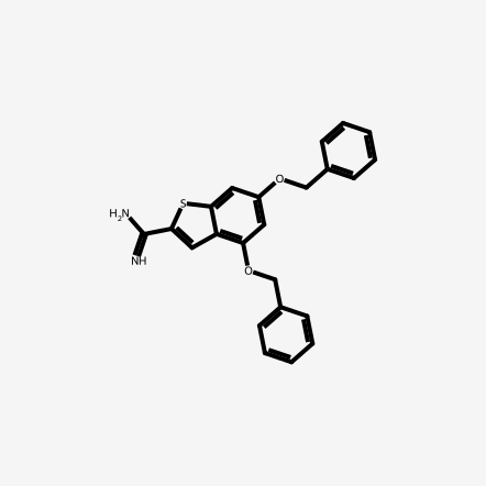 N=C(N)c1cc2c(OCc3ccccc3)cc(OCc3ccccc3)cc2s1